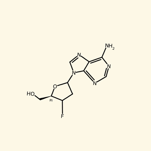 Nc1ncnc2c1ncn2C1CC(F)[C@@H](CO)O1